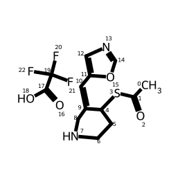 CC(=O)SC1CCNCC1=Cc1cnco1.O=C(O)C(F)(F)F